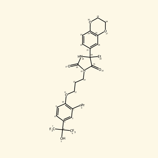 CCCc1cc(C(O)(C(F)(F)F)C(F)(F)F)ccc1OCCCN1C(=O)NC(CC)(c2ccc3c(c2)OCCO3)C1=O